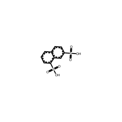 O=S(=O)(O)c1[c]c2c(S(=O)(=O)O)cccc2cc1